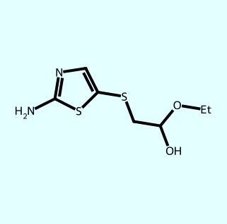 CCOC(O)CSc1cnc(N)s1